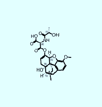 COc1ccc2c3c1O[C@@H]1C(OC(=O)[C@H](NC(=O)[C@H](C)O)C(=O)O)=CC[C@]4(O)[C@H](C2)N(C)CC[C@@]314